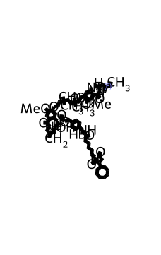 C=C1C[C@H]2[C@H](O)N(C(=O)OCc3ccc(NBC(=O)CCCCCN4C(=O)CC(C5CCCCCCC5)C4=O)cc3)c3cc(OCCC(C)(C)CCC(C)(C)COc4cc5c(cc4OC)C(=O)N4C/C(=C/C)C[C@H]4C=N5)c(OC)cc3C(=O)N2C1